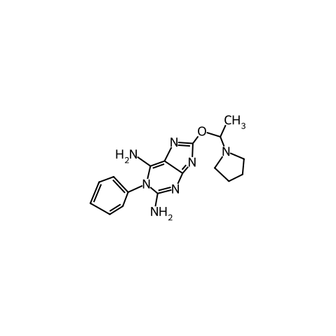 CC(Oc1nc2nc(N)n(-c3ccccc3)c(N)c-2n1)N1CCCC1